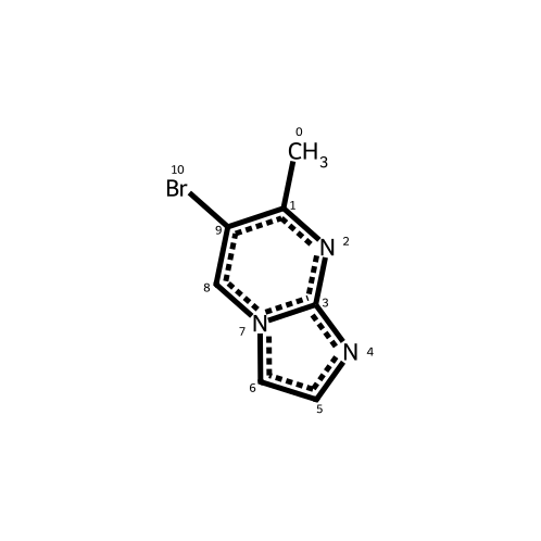 Cc1nc2nccn2cc1Br